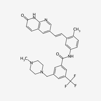 Cc1ccc(NC(=O)c2cc(CN3CCN(C)CC3)cc(C(F)(F)F)c2)cc1/C=C/c1cnc2[nH]c(=O)ccc2c1